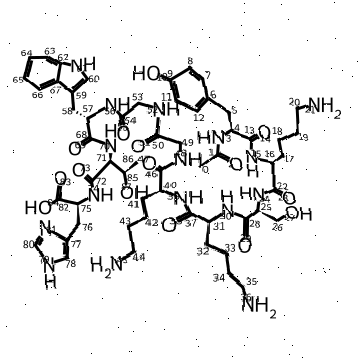 CC(=O)N[C@@H](Cc1ccc(O)cc1)C(=O)N[C@@H](CCCCN)C(=O)N[C@@H](CO)C(=O)N[C@@H](CCCCN)C(=O)N[C@@H](CCCCN)C(=O)NCC(=O)NCC(=O)N[C@@H](Cc1c[nH]c2ccccc12)C(=O)N[C@H](C(=O)N[C@@H](Cc1c[nH]cn1)C(=O)O)[C@@H](C)O